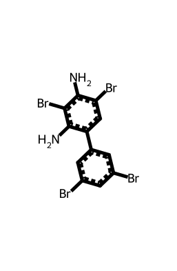 Nc1c(Br)cc(-c2cc(Br)cc(Br)c2)c(N)c1Br